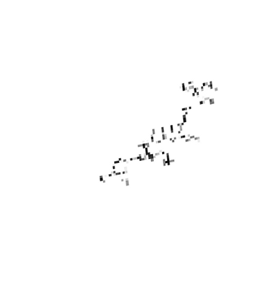 C=C(CNc1c(C=N)nc(NCc2ccc(Cl)c(Cl)c2)[nH]c1=O)NCOCCS(C)(C)C